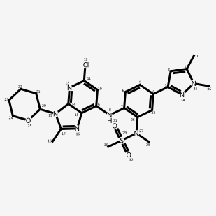 Cc1cc(-c2ccc(Nc3cc(Cl)nc4c3nc(C)n4C3CCCCO3)c(N(C)S(C)(=O)=O)c2)nn1C